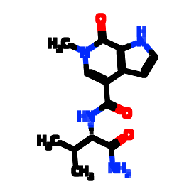 CC(C)[C@H](NC(=O)c1cn(C)c(=O)c2[nH]ccc12)C(N)=O